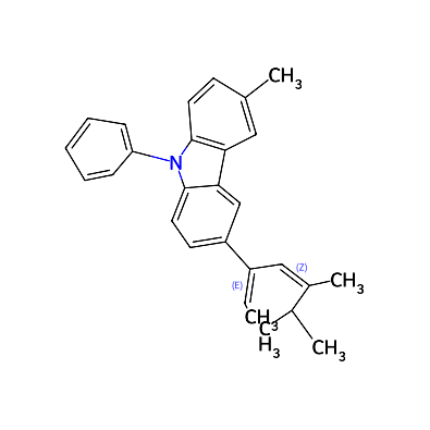 C/C=C(\C=C(\C)C(C)C)c1ccc2c(c1)c1cc(C)ccc1n2-c1ccccc1